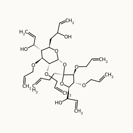 C=CCC[C@@]1(O[C@H]2O[C@H](CC(O)C=C)[C@@H](C(O)C=C)[C@H](OCC=C)[C@H]2OCC=C)O[C@H](C(O)C=C)[C@@H](OCC=C)[C@@H]1OCC=C